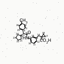 Cc1ccc([C@@H](C(=O)Nc2cccc(CC3(C(=O)O)CC3)c2)C2CCCC2)cc1